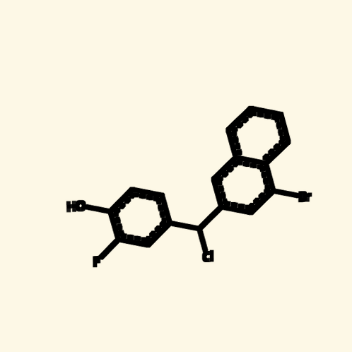 Oc1ccc(C(Cl)c2cc(Br)c3ccccc3c2)cc1F